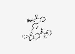 Cc1nc2ccc(NC(=O)N3CCCC3)cc2n1Cc1ccc(-c2ccccc2C(=O)OC(C)(C)C)cc1